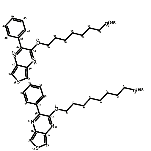 CCCCCCCCCCCCCCCCCCOc1nc2cscc2nc1-c1ccccc1.CCCCCCCCCCCCCCCCCOc1nc2cscc2nc1-c1ccccc1